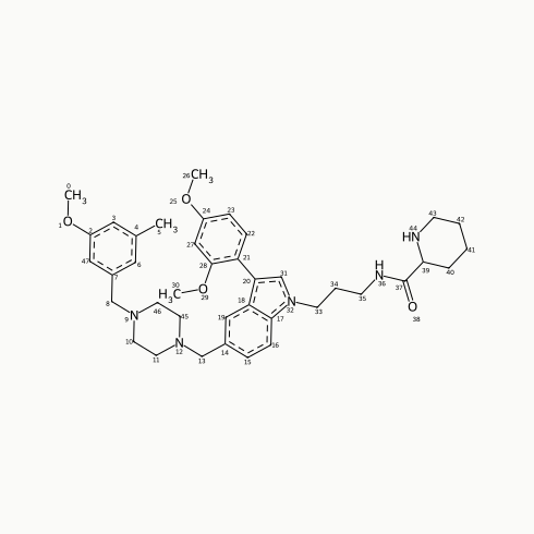 COc1cc(C)cc(CN2CCN(Cc3ccc4c(c3)c(-c3ccc(OC)cc3OC)cn4CCCNC(=O)C3CCCCN3)CC2)c1